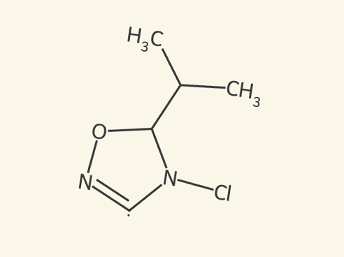 CC(C)C1ON=[C]N1Cl